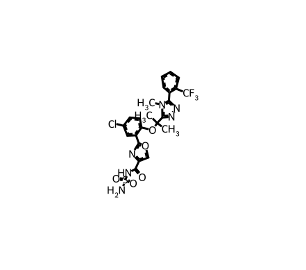 Cn1c(-c2ccccc2C(F)(F)F)nnc1C(C)(C)Oc1ccc(Cl)cc1-c1nc(C(=O)NS(N)(=O)=O)co1